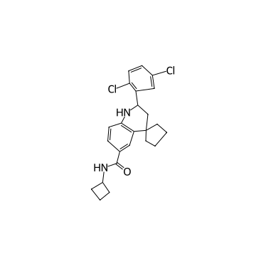 O=C(NC1CCC1)c1ccc2c(c1)C1(CCCC1)CC(c1cc(Cl)ccc1Cl)N2